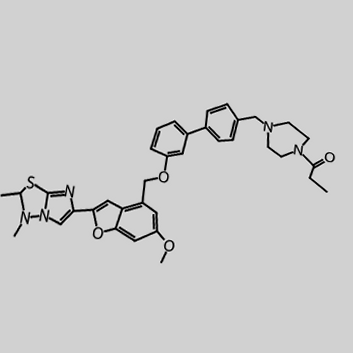 CCC(=O)N1CCN(Cc2ccc(-c3cccc(OCc4cc(OC)cc5oc(-c6cn7c(n6)SC(C)N7C)cc45)c3)cc2)CC1